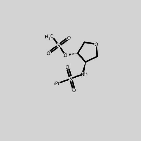 CC(C)S(=O)(=O)N[C@@H]1COC[C@H]1OS(C)(=O)=O